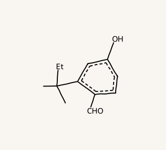 CCC(C)(C)c1cc(O)ccc1C=O